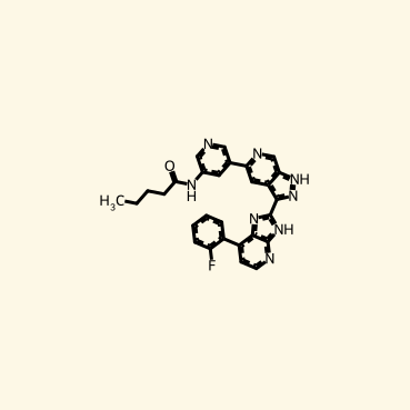 CCCCC(=O)Nc1cncc(-c2cc3c(-c4nc5c(-c6ccccc6F)ccnc5[nH]4)n[nH]c3cn2)c1